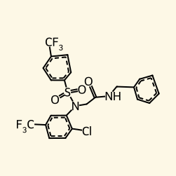 O=C(CN(c1cc(C(F)(F)F)ccc1Cl)S(=O)(=O)c1ccc(C(F)(F)F)cc1)NCc1ccccc1